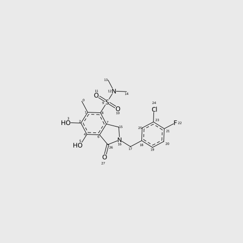 Cc1c(O)c(O)c2c(c1S(=O)(=O)N(C)C)CN(Cc1ccc(F)c(Cl)c1)C2=O